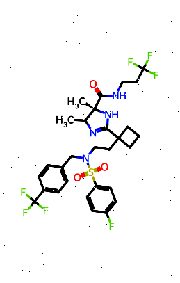 CC1N=C(C2(CCN(Cc3ccc(C(F)(F)F)cc3)S(=O)(=O)c3ccc(F)cc3)CCC2)N[C@@]1(C)C(=O)NCCC(F)(F)F